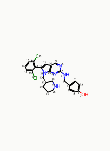 Oc1ccc(CNc2ncc3cc(-c4c(Cl)cccc4Cl)n(C[C@@H]4CCCNC4)c3n2)cc1